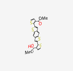 COC(=O)c1ccsc1-c1cc2cc3sc(-c4sccc4C(O)OC)cc3cc2s1